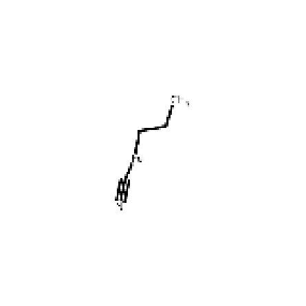 CC[CH2][Fe][C]#N